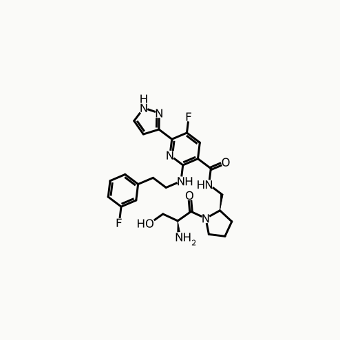 N[C@@H](CO)C(=O)N1CCC[C@@H]1CNC(=O)c1cc(F)c(-c2cc[nH]n2)nc1NCCc1cccc(F)c1